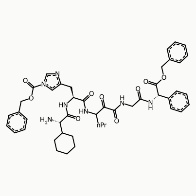 CCCC(NC(=O)[C@H](Cc1cn(C(=O)OCc2ccccc2)cn1)NC(=O)[C@@H](N)C1CCCCC1)C(=O)C(=O)NCC(=O)N[C@H](C(=O)OCc1ccccc1)c1ccccc1